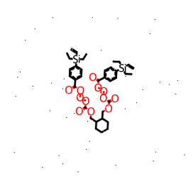 C=C[Si](CC)(CC)c1ccc(C(=O)OOOC(=O)OCC2CCCCC2COC(=O)OOOC(=O)c2ccc([Si](C=C)(CC)CC)cc2)cc1